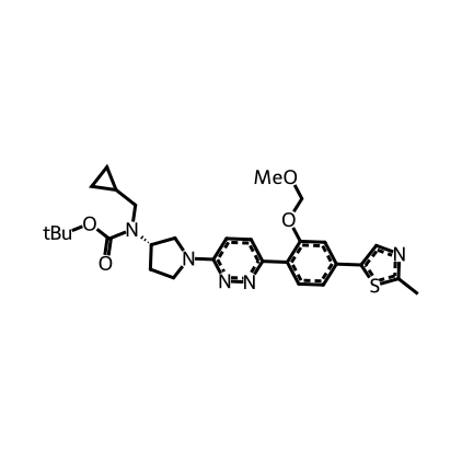 COCOc1cc(-c2cnc(C)s2)ccc1-c1ccc(N2CC[C@H](N(CC3CC3)C(=O)OC(C)(C)C)C2)nn1